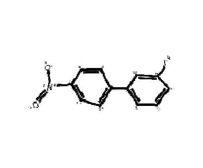 O=[N+]([O-])c1ccc(-c2cccc(F)c2)cc1